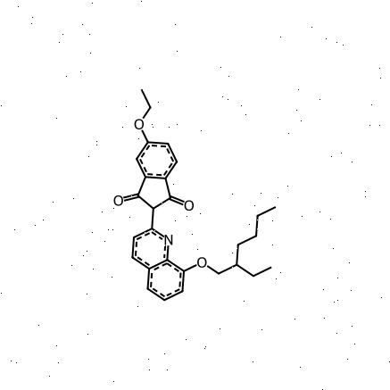 CCCCC(CC)COc1cccc2ccc(C3C(=O)c4ccc(OCC)cc4C3=O)nc12